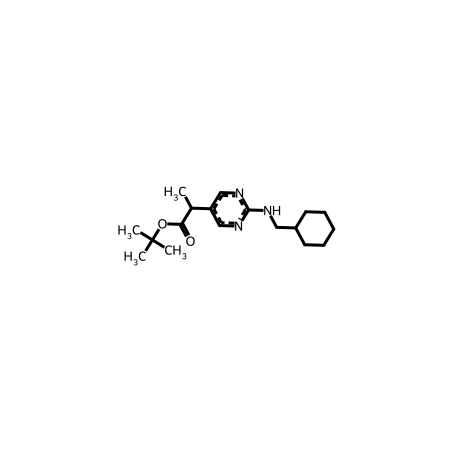 CC(C(=O)OC(C)(C)C)c1cnc(NCC2CCCCC2)nc1